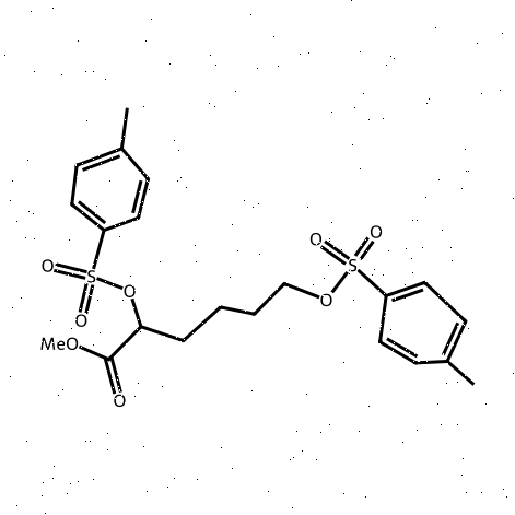 COC(=O)C(CCCCOS(=O)(=O)c1ccc(C)cc1)OS(=O)(=O)c1ccc(C)cc1